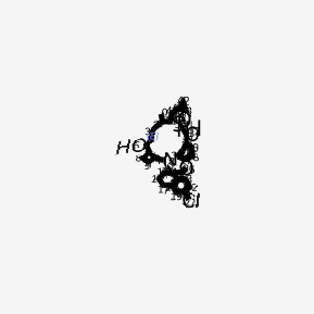 CC1C/C=C/C(O)C2CCC2CN2C[C@@]3(CCCc4cc(Cl)ccc43)COc3ccc(cc32)C(=O)NS(=O)(=O)C1CC1CC1